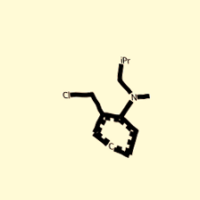 CC(C)CN(C)c1ccccc1CCl